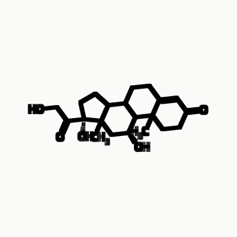 CC12CCC(=O)C=C1CCC1C2[C@@H](O)CC2(C)C1CC[C@]2(O)C(=O)CO